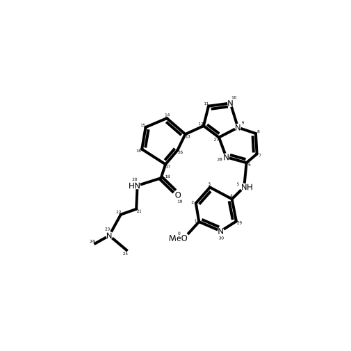 COc1ccc(Nc2ccn3ncc(-c4cccc(C(=O)NCCN(C)C)c4)c3n2)cn1